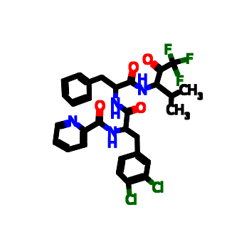 CC(C)C(NC(=O)C(Cc1ccccc1)NC(=O)C(Cc1ccc(Cl)c(Cl)c1)NC(=O)c1ccccn1)C(=O)C(F)(F)F